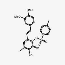 COc1ccc(C=Cc2cc(C)c(C#N)c(=O)n2OS(=O)(=O)c2ccc(C)cc2)cc1OC